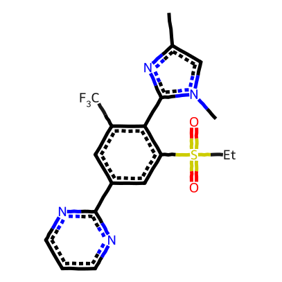 CCS(=O)(=O)c1cc(-c2ncccn2)cc(C(F)(F)F)c1-c1nc(C)cn1C